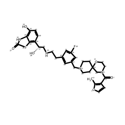 Cc1occc1C(=O)N1CCOC2(CCN(Cc3cc(F)cc(CCNC[C@H](O)c4ccc(O)c5[nH]c(=O)sc45)c3)CC2)C1